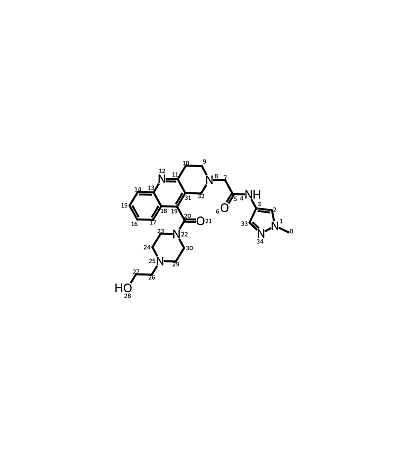 Cn1cc(NC(=O)CN2CCc3nc4ccccc4c(C(=O)N4CCN(CCO)CC4)c3C2)cn1